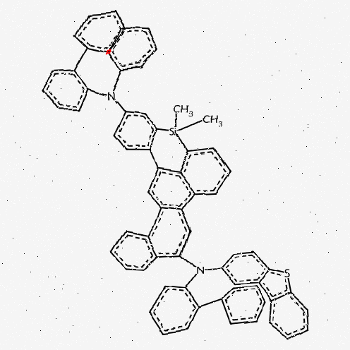 C[Si]1(C)c2cc(N(c3ccccc3)c3ccccc3-c3ccccc3)ccc2-c2cc3c4ccccc4c(N(c4ccc5sc6ccccc6c5c4)c4ccccc4-c4ccccc4)cc3c3cccc1c23